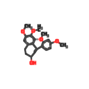 COc1ccc(C2=CC(O)CCc3cc(OC)c(OC)c(OC)c32)cc1